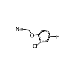 N#CCOc1ccc(F)cc1Cl